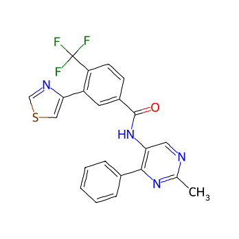 Cc1ncc(NC(=O)c2ccc(C(F)(F)F)c(-c3cscn3)c2)c(-c2ccccc2)n1